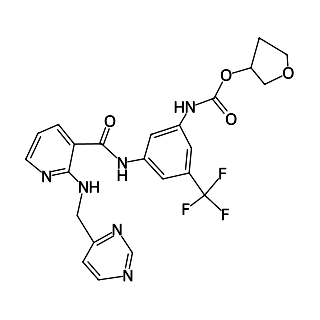 O=C(Nc1cc(NC(=O)c2cccnc2NCc2ccncn2)cc(C(F)(F)F)c1)OC1CCOC1